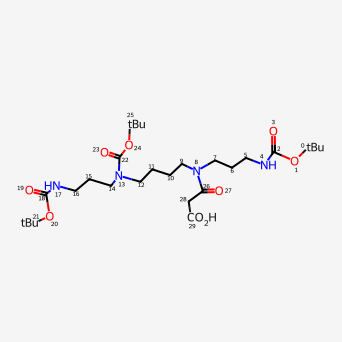 CC(C)(C)OC(=O)NCCCN(CCCCN(CCCNC(=O)OC(C)(C)C)C(=O)OC(C)(C)C)C(=O)CC(=O)O